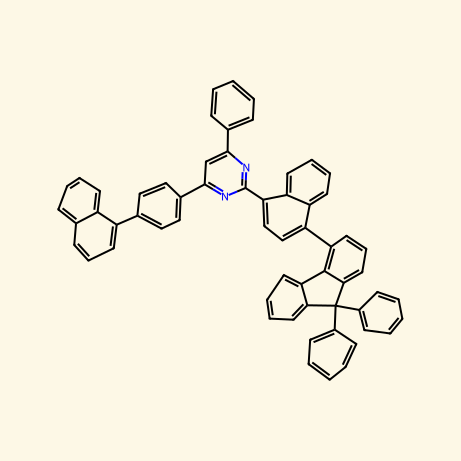 c1ccc(-c2cc(-c3ccc(-c4cccc5ccccc45)cc3)nc(-c3ccc(-c4cccc5c4-c4ccccc4C5(c4ccccc4)c4ccccc4)c4ccccc34)n2)cc1